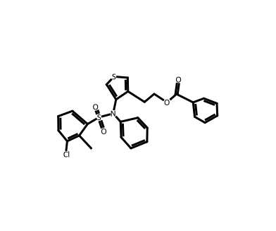 Cc1c(Cl)cccc1S(=O)(=O)N(c1ccccc1)c1cscc1CCOC(=O)c1ccccc1